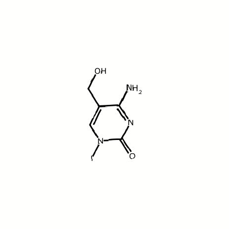 Nc1nc(=O)n(I)cc1CO